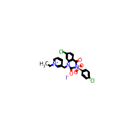 CC[n+]1cccc(Cn2c(=O)n(S(=O)(=O)c3ccc(Cl)cc3)c(=O)c3ccc(Cl)cc32)c1.[I-]